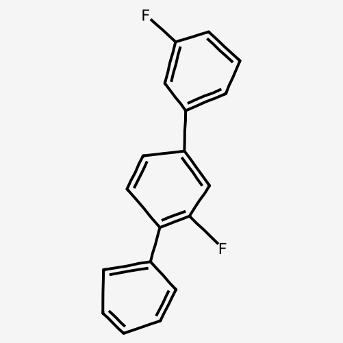 Fc1cccc(-c2ccc(-c3ccccc3)c(F)c2)c1